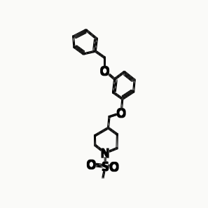 CS(=O)(=O)N1CCC(COc2cccc(OCc3ccccc3)c2)CC1